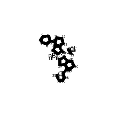 CCCC1=Cc2c(-c3ccccc3)cccc2[CH]1[Zr+2]1([CH]2C(CCC)=Cc3c(-c4ccccc4)cccc32)[CH2][CH2]1.[Cl-].[Cl-]